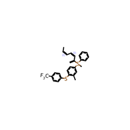 C=C(/C=C\C=C/C)S(C)(c1ccccc1)c1ccc(Sc2ccc(C(F)(F)F)cc2)c(C)c1